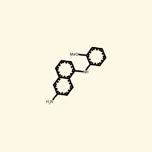 COc1ccccc1Nc1cccc2cc(N)ccc12